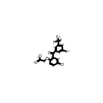 O=C(Cl)COc1ccc(Cl)cc1C(=O)c1cc(F)cc(C(F)(F)F)c1